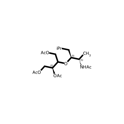 CC(=O)N[C@@H](C)[C@H](CC(C)C)OC(COC(C)=O)[C@H](COC(C)=O)OC(C)=O